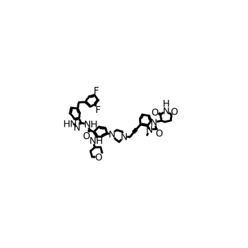 Cn1c(=O)n(C2CCC(=O)NC2=O)c2cccc(C#CCN3CCN(c4ccc(C(=O)Nc5n[nH]c6ccc(Cc7cc(F)cc(F)c7)cc56)c(NC5CCOCC5)c4)CC3)c21